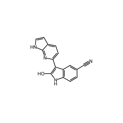 N#Cc1ccc2[nH]c(O)c(-c3ccc4cc[nH]c4n3)c2c1